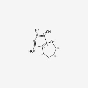 N#Cc1c(F)cc(O)c2c1OCCCC2